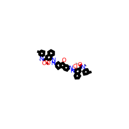 COc1c(C(=O)N(C)c2cccc(C)c2)cc2ccccc2c1N=Nc1ccc2c(c1)C(=O)c1cc(N=Nc3c(OC)c(C(=O)N(C)c4cccc(C)c4)cc4ccccc34)ccc1-2